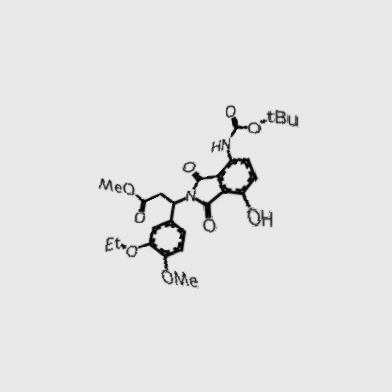 CCOc1cc(C(CC(=O)OC)N2C(=O)c3c(O)ccc(NC(=O)OC(C)(C)C)c3C2=O)ccc1OC